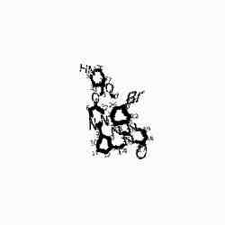 COC1(COc2cnc(-c3cccc(Cn4c(=O)ccn5c6cc(Br)ccc6nc45)c3)nc2)CCNCC1